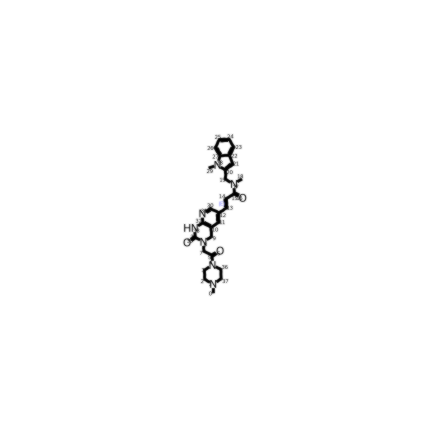 CN1CCN(C(=O)CN2Cc3cc(/C=C/C(=O)N(C)Cc4cc5ccccc5n4C)cnc3NC2=O)CC1